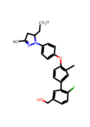 Cc1cc(-c2cc(CO)ccc2F)ccc1Oc1ccc(N2N=C(C#N)CC2CC(=O)O)cc1